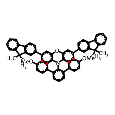 COc1ccc(-c2cccc(-c3ccc(OC)cc3)c2N2c3ccc(-c4ccc5c(c4)C(C)(C)c4ccccc4-5)cc3Oc3cc(-c4ccc5c(c4)C(C)(C)c4ccccc4-5)ccc32)cc1